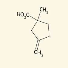 C=C1CCC(C)(C(=O)O)C1